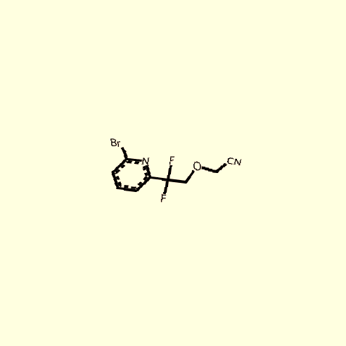 N#CCOCC(F)(F)c1cccc(Br)n1